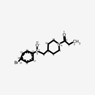 CCC(=O)N1CCC(C[S+]([O-])c2ccc(Br)cc2)CC1